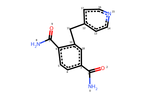 NC(=O)c1ccc(C(N)=O)c(Cc2ccncc2)c1